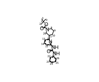 CC(C)(C)OC(=O)N1CCCC(c2cccc(NC(=O)Nc3ccccc3)n2)C1